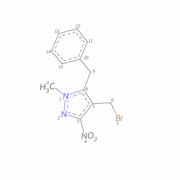 Cn1nc([N+](=O)[O-])c(CBr)c1Cc1ccccc1